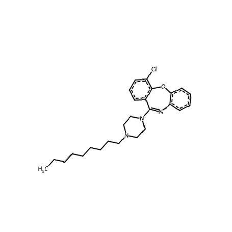 CCCCCCCCCN1CCN(C2=Nc3ccccc3Oc3c(Cl)cccc32)CC1